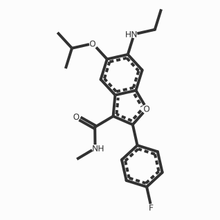 CCNc1cc2oc(-c3ccc(F)cc3)c(C(=O)NC)c2cc1OC(C)C